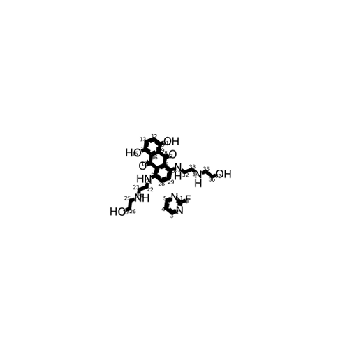 Fc1ncccn1.O=C1c2c(O)ccc(O)c2C(=O)c2c(NCCNCCO)ccc(NCCNCCO)c21